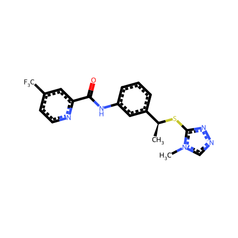 C[C@H](Sc1nncn1C)c1cccc(NC(=O)c2cc(C(F)(F)F)ccn2)c1